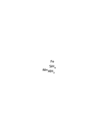 [AlH3].[Fe].[Mn].[SiH4]